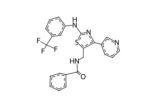 O=C(NCc1sc(Nc2cccc(C(F)(F)F)c2)nc1-c1cccnc1)c1ccccc1